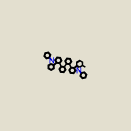 CC1CC=Cc2c1n(-c1ccccc1)c1cccc(-c3ccccc3-c3ccccc3-c3cccc4c3c3ccccc3n4-c3ccccc3)c21